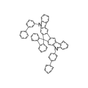 c1ccc(-c2ccc(-n3c4ccccc4c4cc5c(cc43)C3(c4ccccc4-c4ccccc43)c3cc4c(cc3-5)c3ccccc3n4-c3cccc(-c4ccccc4)c3)cc2)cc1